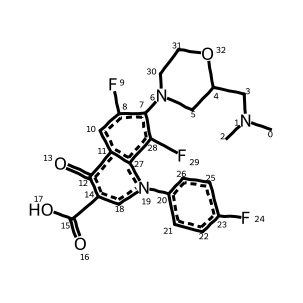 CN(C)CC1CN(c2c(F)cc3c(=O)c(C(=O)O)cn(-c4ccc(F)cc4)c3c2F)CCO1